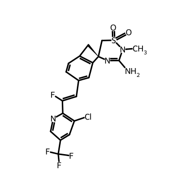 CN1C(N)=N[C@@]2(Cc3ccc(/C=C(\F)c4ncc(C(F)(F)F)cc4Cl)cc32)CS1(=O)=O